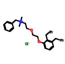 CC(C)Cc1cccc(OCCOCC[N+](C)(C)Cc2ccccc2)c1CC(C)C.[Cl-]